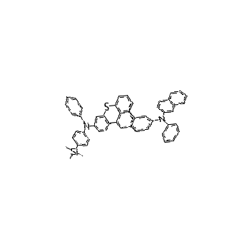 C[Si](C)(C)c1ccc(N(c2ccccc2)c2ccc3c(c2)Sc2cccc4c2c-3cc2ccc(N(c3ccccc3)c3ccc5ccccc5c3)cc24)cc1